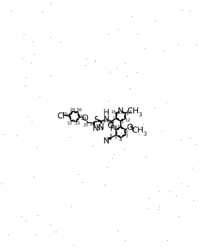 COc1ccc(C#N)c(F)c1-c1cc(C)ncc1C(=O)Nc1nnc(COc2ccc(Cl)cc2)s1